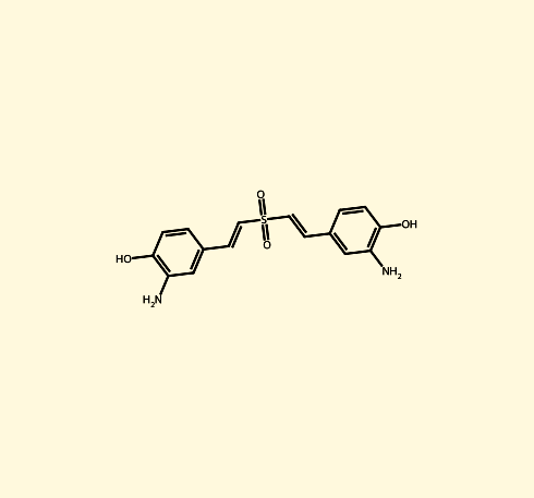 Nc1cc(C=CS(=O)(=O)C=Cc2ccc(O)c(N)c2)ccc1O